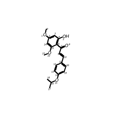 COc1cc(O)c(C(=O)/C=C/c2ccc(OC(C)C)cc2)c(OC)c1